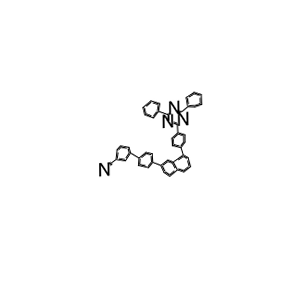 N#Cc1cccc(-c2ccc(-c3ccc4cccc(-c5ccc(-c6nc(-c7ccccc7)nc(-c7ccccc7)n6)cc5)c4c3)cc2)c1